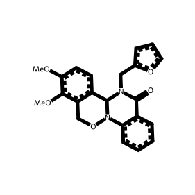 COc1ccc2c(c1OC)CON1c3ccccc3C(=O)N(Cc3ccco3)C21